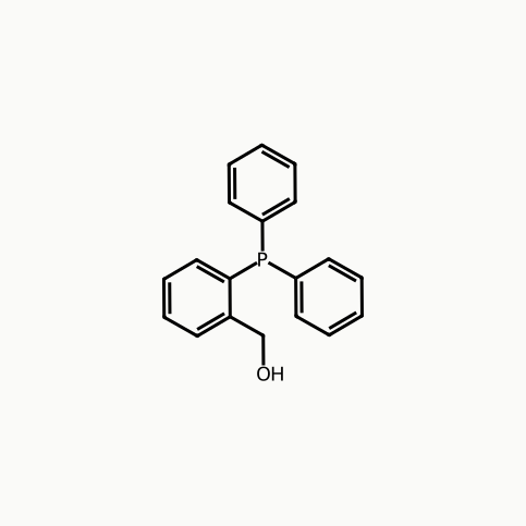 OCc1ccccc1P(c1ccccc1)c1ccccc1